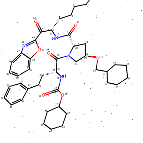 NCCCC[C@H](NC(=O)[C@@H]1C[C@@H](OCC2CCCCC2)CN1C(=O)[C@@H](CCc1ccccc1)NC(=O)OC1CCCCC1)C(=O)c1nc2ccccc2o1